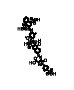 COc1cc(/N=N/c2cc(S(=O)(=O)O)c3ccccc3c2S(=O)(=O)O)c(C)cc1NNc1c(S(=O)(=O)O)cc2cc(/N=N/C3C(=O)N(c4ccc(S(=O)(=O)O)cc4)N=C3C(=O)O)ccc2c1O